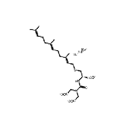 CC(C)=CCC/C(C)=C/CC/C(C)=C/CSC[C@H](NC(=O)N(CC(=O)[O-])CC(=O)[O-])C(=O)[O-].[Na+].[Na+].[Na+]